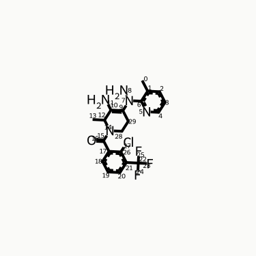 Cc1cccnc1N(N)C1=C(N)C(C)N(C(=O)c2cccc(C(F)(F)F)c2Cl)CC1